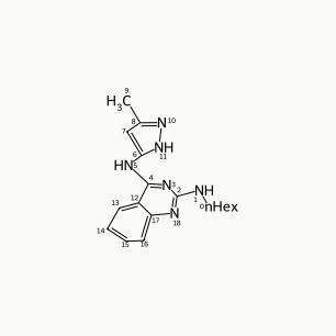 CCCCCCNc1nc(Nc2cc(C)n[nH]2)c2ccccc2n1